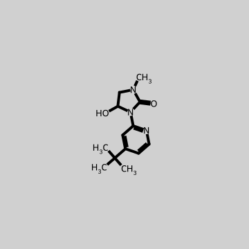 CN1CC(O)N(c2cc(C(C)(C)C)ccn2)C1=O